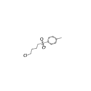 Cc1ccc(S(=O)(=O)CCCCCl)cc1